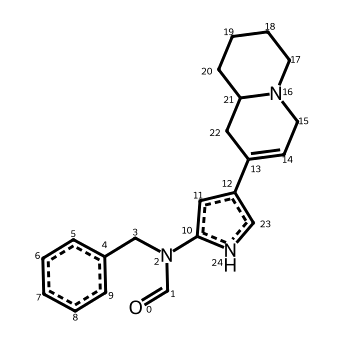 O=CN(Cc1ccccc1)c1cc(C2=CCN3CCCCC3C2)c[nH]1